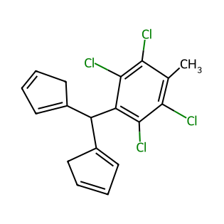 Cc1c(Cl)c(Cl)c(C(C2=CC=CC2)C2=CC=CC2)c(Cl)c1Cl